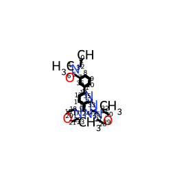 C#CCN(C)C(=O)c1cccc(-c2ccc3c(N4CCOC[C@@H]4C)nc(N4CCOC[C@@H]4C)nc3n2)c1